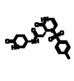 Cc1ccc(S(=O)(=O)N2C=CNC(=O)[C@H]2CC(=O)N[C@H]2CCC(=O)NC2)cc1